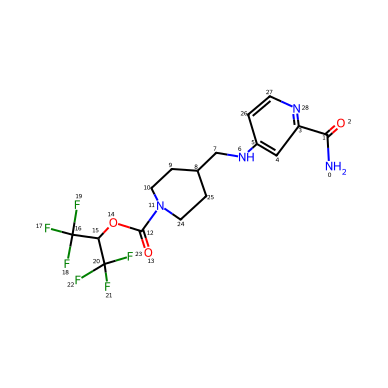 NC(=O)c1cc(NCC2CCN(C(=O)OC(C(F)(F)F)C(F)(F)F)CC2)ccn1